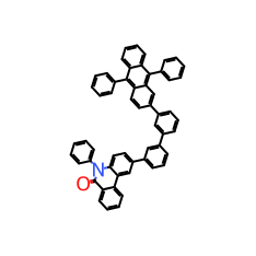 O=c1c2ccccc2c2cc(-c3cccc(-c4cccc(-c5ccc6c(-c7ccccc7)c7ccccc7c(-c7ccccc7)c6c5)c4)c3)ccc2n1-c1ccccc1